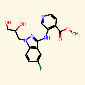 COC(=O)c1ccncc1Nc1nn(CC(O)CO)c2ccc(F)cc12